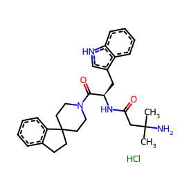 CC(C)(N)CC(=O)N[C@H](Cc1c[nH]c2ccccc12)C(=O)N1CCC2(CCc3ccccc32)CC1.Cl